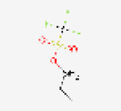 CC[SiH2]OS(=O)(=O)C(F)(F)F